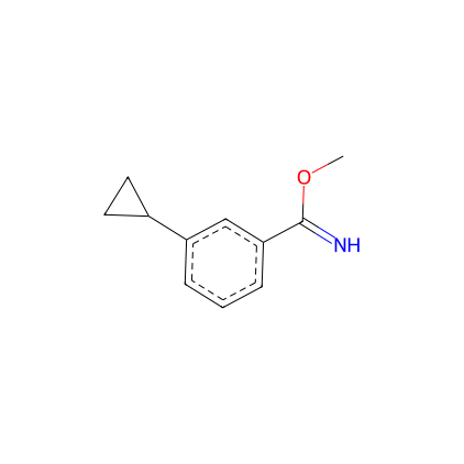 COC(=N)c1cccc(C2CC2)c1